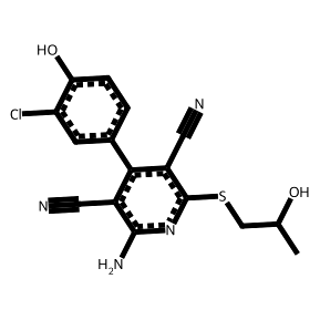 CC(O)CSc1nc(N)c(C#N)c(-c2ccc(O)c(Cl)c2)c1C#N